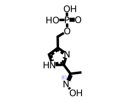 C/C(=N\O)c1nc(COP(=O)(O)O)c[nH]1